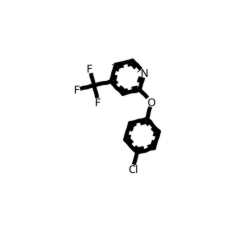 FC(F)(F)c1[c]cnc(Oc2ccc(Cl)cc2)c1